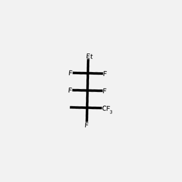 CCC(F)(F)C(F)(F)C(C)(F)C(F)(F)F